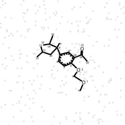 COCOc1ccc(C(C)(CC(C)C)C(C)C)cc1C(C)=O